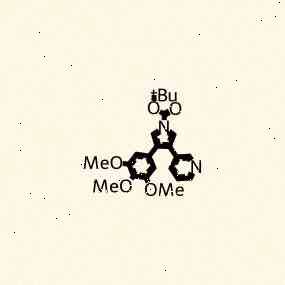 COc1cc(-c2cn(C(=O)OC(C)(C)C)cc2-c2cccnc2)cc(OC)c1OC